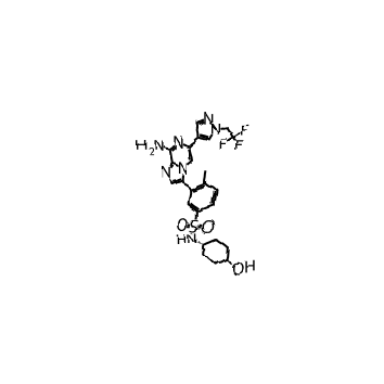 Cc1ccc(S(=O)(=O)N[C@H]2CC[C@H](O)CC2)cc1-c1cnc2c(N)nc(-c3cnn(CC(F)(F)F)c3)cn12